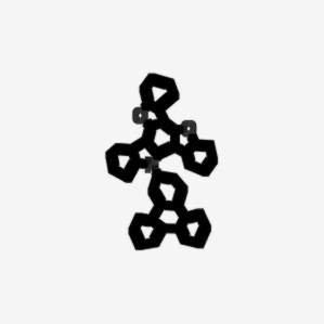 c1ccc2c(c1)oc1c2c2oc3ccccc3c2c2c1c1ccccc1n2-c1ccc2c3ccccc3c3ccccc3c2c1